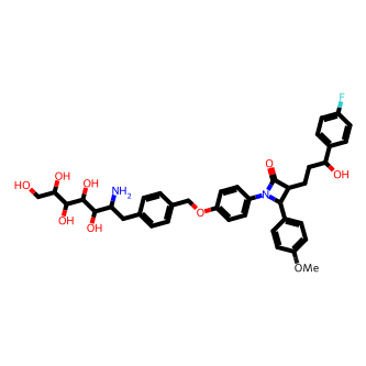 COc1ccc(C2C(CCC(O)c3ccc(F)cc3)C(=O)N2c2ccc(OCc3ccc(CC(N)C(O)C(O)C(O)C(O)CO)cc3)cc2)cc1